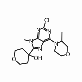 CC1COCCN1c1nc(Cl)nc2c1nc(C1(O)CCOCC1)n2C